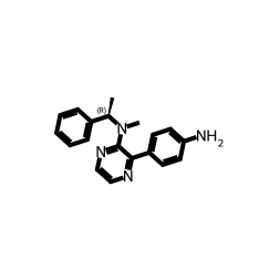 C[C@H](c1ccccc1)N(C)c1nccnc1-c1ccc(N)cc1